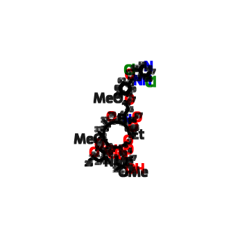 CC[C@H]1OC(=O)[C@H](C)[C@@H](O[C@H]2C[C@@](C)(OC)[C@@H](O)[C@H](C)O2)[C@H](C)[C@@H](O[C@@H]2O[C@H](C)C[C@H](NC)[C@H]2O)[C@](C)(OC)C[C@@H](C)C(=O)[C@H](C)[C@H]2N(CCCOc3cc(C(=O)Nc4c(Cl)cncc4Cl)ccc3OC)C(=O)O[C@]12C